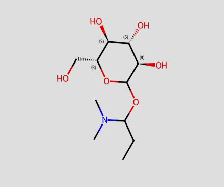 CCC(OC1O[C@H](CO)[C@@H](O)[C@H](O)[C@H]1O)N(C)C